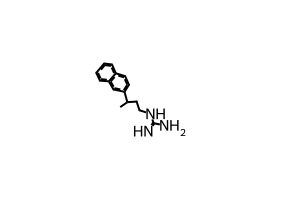 CC(CCNC(=N)N)c1ccc2ccccc2c1